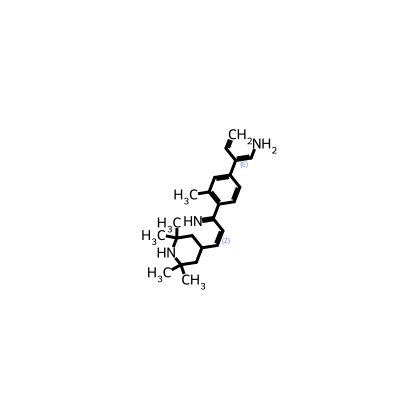 C=C/C(=C\N)c1ccc(C(=N)/C=C\C2CC(C)(C)NC(C)(C)C2)c(C)c1